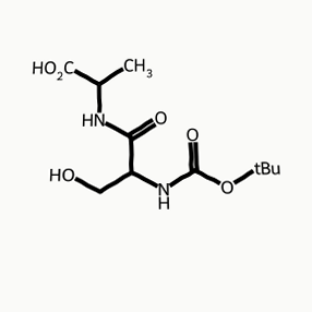 CC(NC(=O)C(CO)NC(=O)OC(C)(C)C)C(=O)O